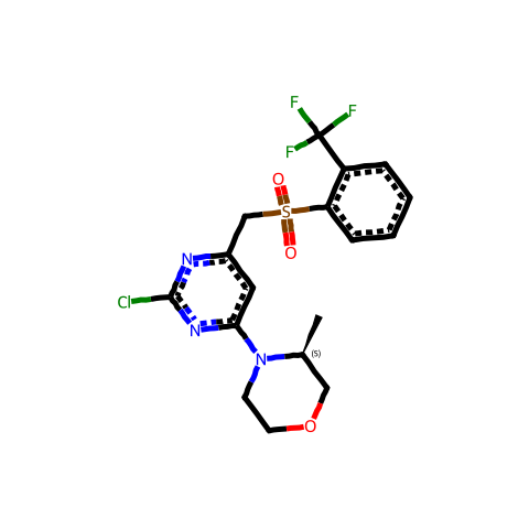 C[C@H]1COCCN1c1cc(CS(=O)(=O)c2ccccc2C(F)(F)F)nc(Cl)n1